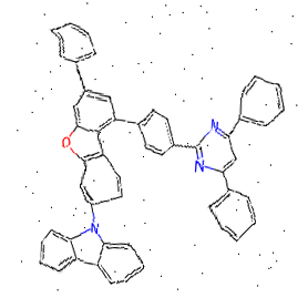 c1ccc(-c2cc(-c3ccc(-c4nc(-c5ccccc5)cc(-c5ccccc5)n4)cc3)c3c(c2)oc2cc(-n4c5ccccc5c5ccccc54)ccc23)cc1